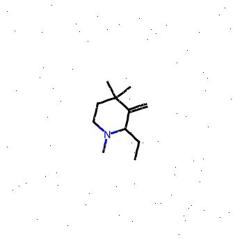 C=C1C(CC)N(C)CCC1(C)C